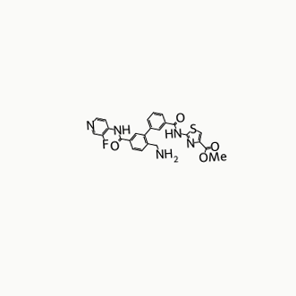 COC(=O)c1csc(NC(=O)c2cccc(-c3cc(C(=O)Nc4ccncc4F)ccc3CN)c2)n1